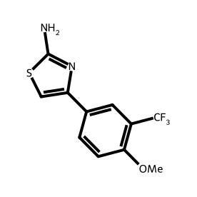 COc1ccc(-c2csc(N)n2)cc1C(F)(F)F